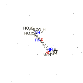 CNC(CC(=O)NCCCCCCCC(=O)NCCCCC(N[C@@H](CCC(=O)O)C(=O)O)C(=O)O)Cc1ccccc1